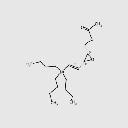 CCC[CH2][Sn](/[CH]=C/[C@H]1O[C@H]1COC(C)=O)([CH2]CCC)[CH2]CCC